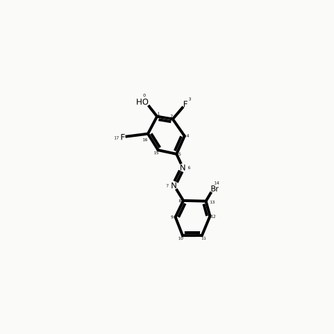 Oc1c(F)cc(N=Nc2ccccc2Br)cc1F